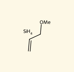 C=CCOC.[SiH4]